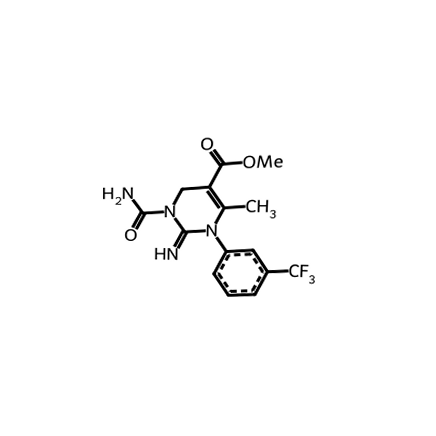 COC(=O)C1=C(C)N(c2cccc(C(F)(F)F)c2)C(=N)N(C(N)=O)C1